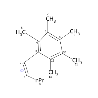 CCC/C=[C]\c1c(C)c(C)c(C)c(C)c1C